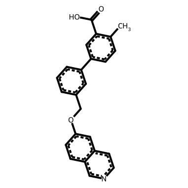 Cc1ccc(-c2cccc(COc3ccc4cnccc4c3)c2)cc1C(=O)O